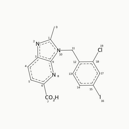 Cc1nc2ccc(C(=O)O)nc2n1Cc1ccc(I)cc1Cl